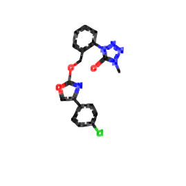 Cn1nnn(-c2ccccc2COc2nc(-c3ccc(Cl)cc3)co2)c1=O